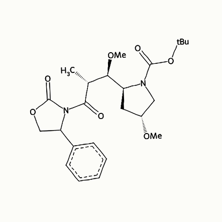 CO[C@@H]1C[C@@H]([C@H](OC)[C@@H](C)C(=O)N2C(=O)OCC2c2ccccc2)N(C(=O)OC(C)(C)C)C1